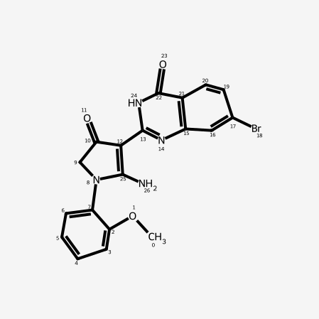 COc1ccccc1N1CC(=O)C(c2nc3cc(Br)ccc3c(=O)[nH]2)=C1N